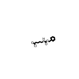 O=C(Cl)CCCCNC(=O)OCc1ccccc1